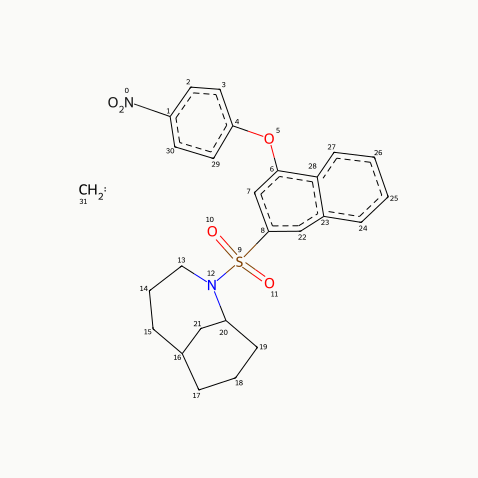 O=[N+]([O-])c1ccc(Oc2cc(S(=O)(=O)N3CCCC4CCCC3C4)cc3ccccc23)cc1.[CH2]